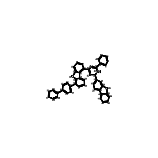 c1ccc(C2=NC(c3cccc4oc5c(-c6ccc(-c7ccccc7)cc6)cccc5c34)=NC(c3ccc4c(c3)oc3ccccc34)N2)cc1